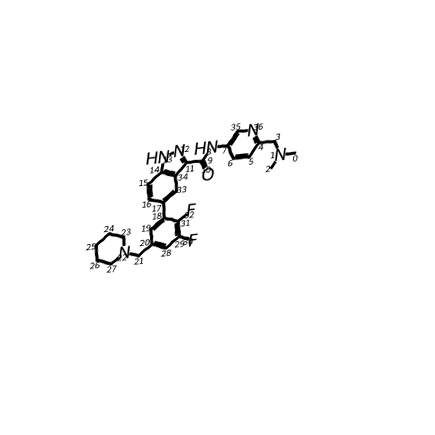 CN(C)Cc1ccc(NC(=O)c2n[nH]c3ccc(-c4cc(CN5CCCCC5)cc(F)c4F)cc23)cn1